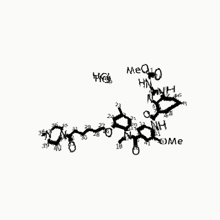 COC(=O)Nc1nc2c(C(=O)Nc3ccc(C(=O)N(C)c4ccc(C)cc4OCCCCCC(=O)N4CCN(C)CC4)cc3OC)cccc2[nH]1.Cl.Cl